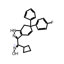 O/N=C(/c1n[nH]c2c1C=CC(c1ccccc1)(c1ccc(F)cc1)C2)C1CCC1